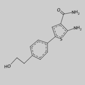 NC(=O)c1cc(-c2ccc(CCO)cc2)sc1N